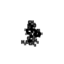 COC(=O)C1(Cc2ccccn2)CN(C(=O)OC(C)(C)C)CCN1